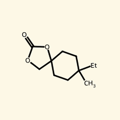 CCC1(C)CCC2(CC1)COC(=O)O2